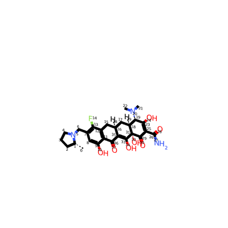 C[C@@H]1CCCN1Cc1cc(O)c2c(c1F)C[C@H]1C[C@H]3[C@H](N(C)C)C(O)=C(C(N)=O)C(=O)[C@@]3(O)C(O)=C1C2=O